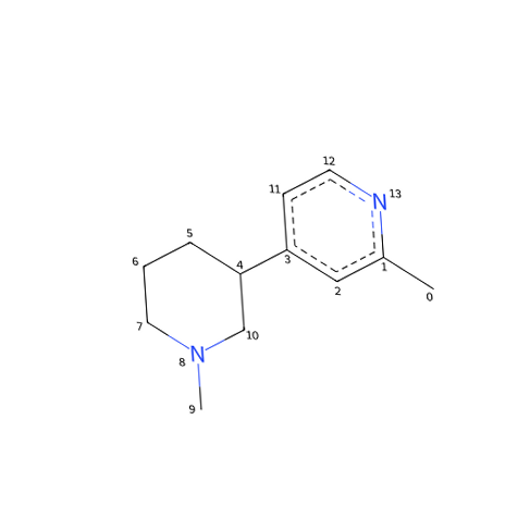 Cc1cc(C2CCCN(C)C2)ccn1